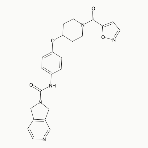 O=C(Nc1ccc(OC2CCN(C(=O)c3ccno3)CC2)cc1)N1Cc2ccncc2C1